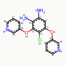 Nc1cc(Oc2cccnc2)c(Cl)c(Oc2cccnc2)c1N